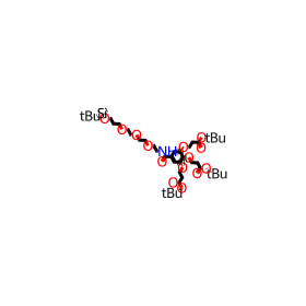 CC(C)(C)OC(=O)CCO[C@@H]1[C@H](OCCC(=O)OC(C)(C)C)C=C(C(=O)NCCOCCOCCOCCCO[Si](C)(C)C(C)(C)C)C[C@H]1OCCC(=O)OC(C)(C)C